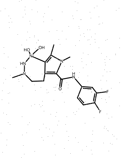 Cc1c2c(c(C(=O)Nc3ccc(F)c(F)c3)n1C)CCN(C)N[N+]2(O)O